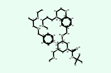 CCOC(C)COCc1ccc([C@H]2[C@H](COC)CN(C(=O)OC(C)(C)C)C[C@@H]2OCc2ccc3c(c2)N(CCCOC)CCO3)cc1